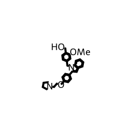 COc1cc(Cn2c(-c3ccc(OCCN4CCCC4)cc3)cc3ccccc32)ccc1CO